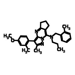 CCCN(Cc1ccccc1C)c1c2c(nc3c(-c4ccc(OC)cc4C)c(C)nn13)CCC2